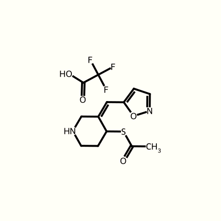 CC(=O)SC1CCNCC1=Cc1ccno1.O=C(O)C(F)(F)F